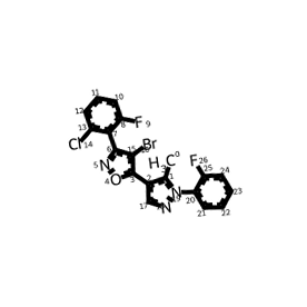 Cc1c(-c2onc(-c3c(F)cccc3Cl)c2Br)cnn1-c1ccccc1F